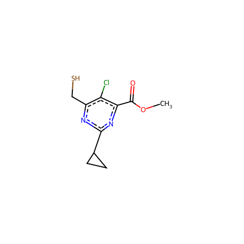 COC(=O)c1nc(C2CC2)nc(CS)c1Cl